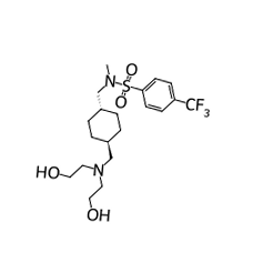 CN(C[C@H]1CC[C@H](CN(CCO)CCO)CC1)S(=O)(=O)c1ccc(C(F)(F)F)cc1